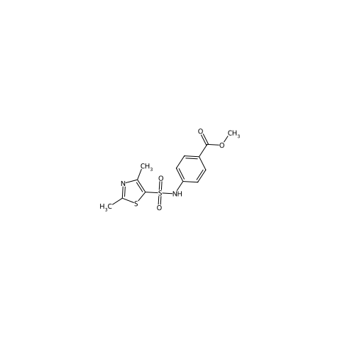 COC(=O)c1ccc(NS(=O)(=O)c2sc(C)nc2C)cc1